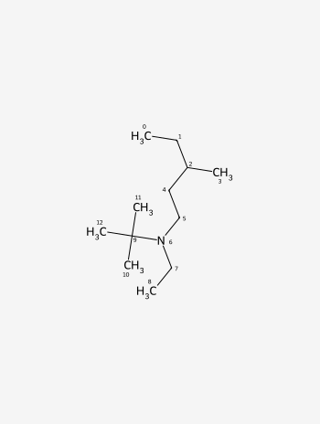 CCC(C)CCN(CC)C(C)(C)C